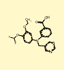 CCOc1cc(N(Cc2cncnc2)c2cccc(C(=O)O)c2)ccc1OC(F)F